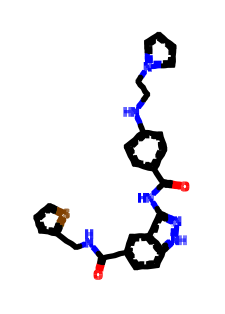 O=C(NCc1cccs1)c1ccc2[nH]nc(NC(=O)c3ccc(NCCn4cccc4)cc3)c2c1